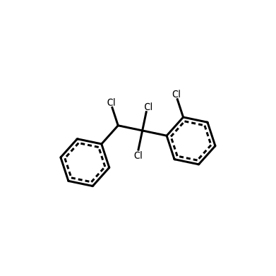 Clc1ccccc1C(Cl)(Cl)C(Cl)c1ccccc1